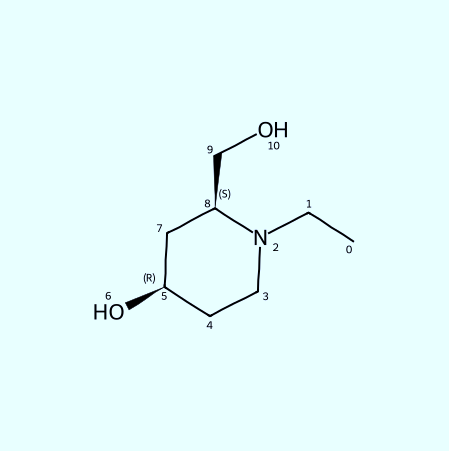 CCN1CC[C@@H](O)C[C@H]1CO